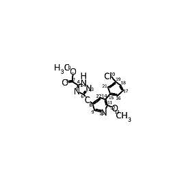 COC(=O)c1nc(Cc2cnc(OC)c(-c3cccc(Cl)c3)c2)n[nH]1